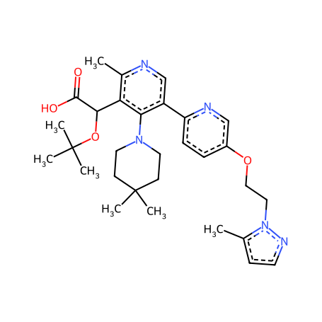 Cc1ncc(-c2ccc(OCCn3nccc3C)cn2)c(N2CCC(C)(C)CC2)c1C(OC(C)(C)C)C(=O)O